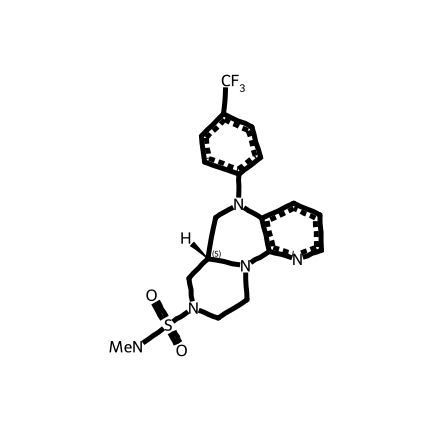 CNS(=O)(=O)N1CCN2c3ncccc3N(c3ccc(C(F)(F)F)cc3)C[C@H]2C1